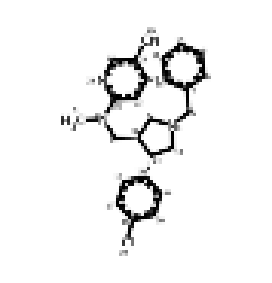 CN(C[C@H]1CN(Cc2ccccc2)C[C@@H]1c1ccc(Cl)cc1)c1ccc(C#N)cn1